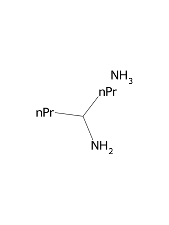 CCCC(N)CCC.N